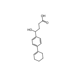 O=C(O)CCC(O)c1ccc(C2=CCCCC2)cc1